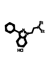 CCN(CC)CCn1nc(-c2ccccc2)c2ccccc21.Cl